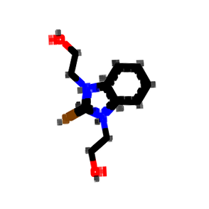 OCCn1c(=S)n(CCO)c2ccccc21